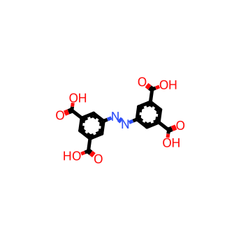 O=C(O)c1cc(N=Nc2cc(C(=O)O)cc(C(=O)O)c2)cc(C(=O)O)c1